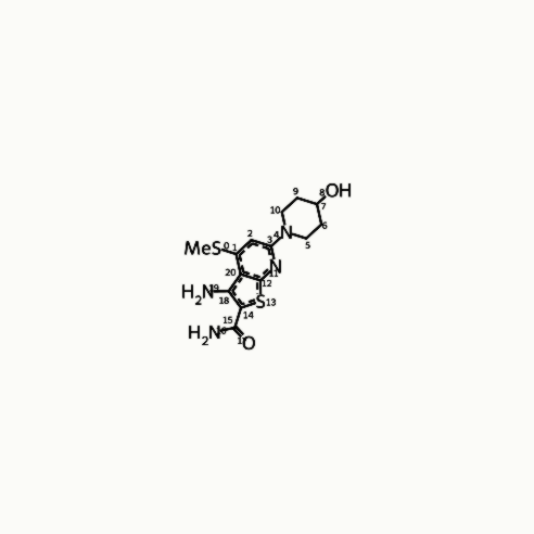 CSc1cc(N2CCC(O)CC2)nc2sc(C(N)=O)c(N)c12